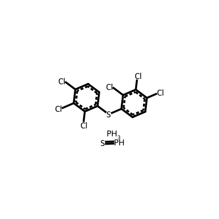 Clc1ccc(Sc2ccc(Cl)c(Cl)c2Cl)c(Cl)c1Cl.P.P=S